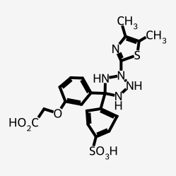 Cc1nc(N2NNC(c3ccc(S(=O)(=O)O)cc3)(c3cccc(OCC(=O)O)c3)N2)sc1C